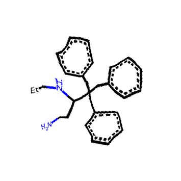 CCNC(CN)C(c1ccccc1)(c1ccccc1)c1ccccc1